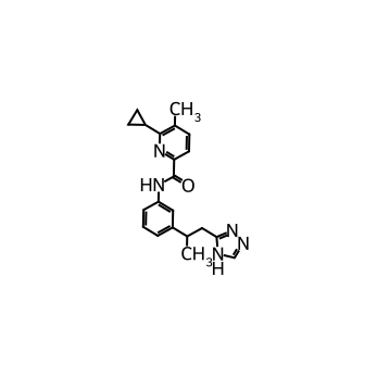 Cc1ccc(C(=O)Nc2cccc(C(C)Cc3nnc[nH]3)c2)nc1C1CC1